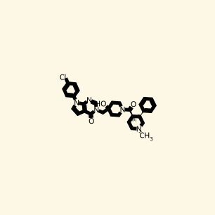 CN1CC[C@@H](C(=O)N2CCC(O)(Cn3cnc4c(ccn4-c4ccc(Cl)cc4)c3=O)CC2)[C@H](c2ccccc2)C1